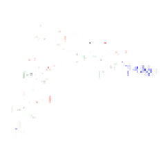 N.N.N.N.N.O=C(O)C(F)(F)F.O=C(O)C(F)(F)F.O=C(O)C(F)(F)F.O=C(O)C(F)(F)F.O=C(O)C(F)(F)F